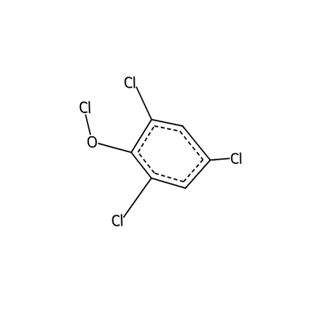 ClOc1c(Cl)cc(Cl)cc1Cl